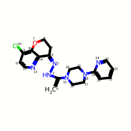 C=C(N/N=C1/CCOc2c(Cl)ccnc21)N1CCN(c2ccccn2)CC1